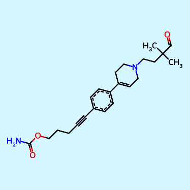 CC(C)(C=O)CCN1CC=C(c2ccc(C#CCCCOC(N)=O)cc2)CC1